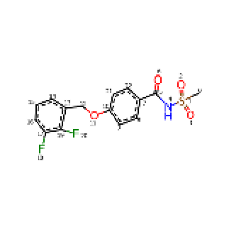 CS(=O)(=O)NC(=O)c1ccc(OCc2cccc(F)c2F)cc1